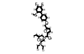 CC=C(O)CN(CCN(CC)CC)C(=O)c1ccc(COc2ccc(-c3cc(F)c(F)cc3SC)cc2)o1